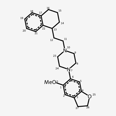 COc1cc2c(cc1N1CCN(CCC3CCCc4ccccc43)CC1)OCC2